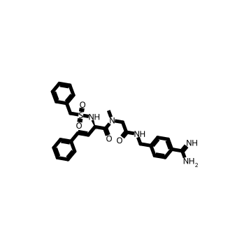 CN(CC(=O)NCc1ccc(C(=N)N)cc1)C(=O)[C@@H](/C=C/c1ccccc1)NS(=O)(=O)Cc1ccccc1